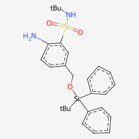 CC(C)(C)NS(=O)(=O)c1cc(CO[Si](c2ccccc2)(c2ccccc2)C(C)(C)C)ccc1N